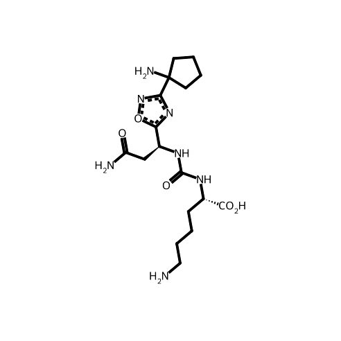 NCCCC[C@H](NC(=O)N[C@@H](CC(N)=O)c1nc(C2(N)CCCC2)no1)C(=O)O